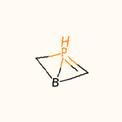 C1=[PH]2CB12